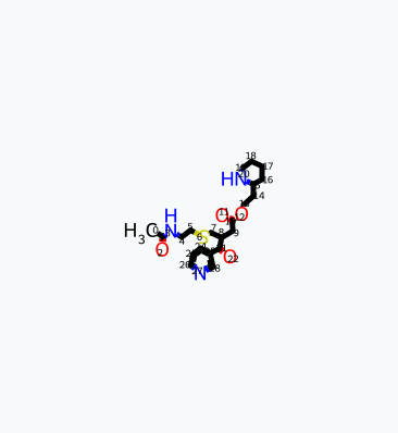 CC(=O)NCCSCC(CC(=O)OCCC1CCCCN1)C(=O)c1cccnc1